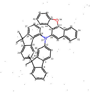 CC1(C)c2ccccc2-c2ccc(N(c3cccc4c3-c3ccccc3C4(C)C)c3cc4ccccc4c4oc5ccccc5c34)cc21